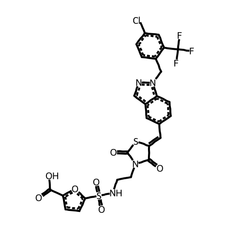 O=C(O)c1ccc(S(=O)(=O)NCCN2C(=O)SC(=Cc3ccc4c(cnn4Cc4ccc(Cl)cc4C(F)(F)F)c3)C2=O)o1